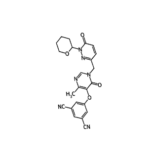 Cc1ncn(Cc2ccc(=O)n(C3CCCCO3)n2)c(=O)c1Oc1cc(C#N)cc(C#N)c1